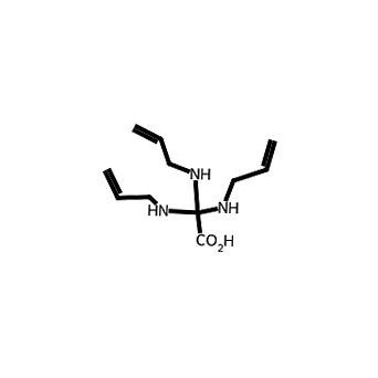 C=CCNC(NCC=C)(NCC=C)C(=O)O